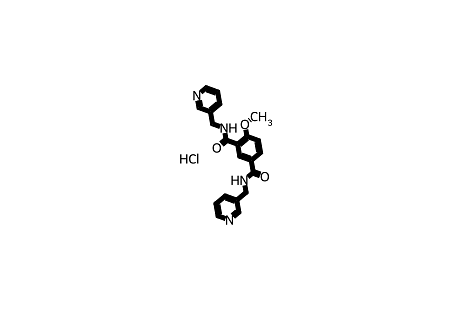 COc1ccc(C(=O)NCc2cccnc2)cc1C(=O)NCc1cccnc1.Cl